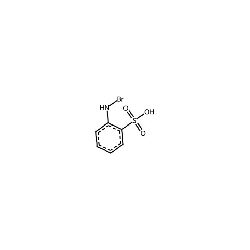 O=S(=O)(O)c1ccccc1NBr